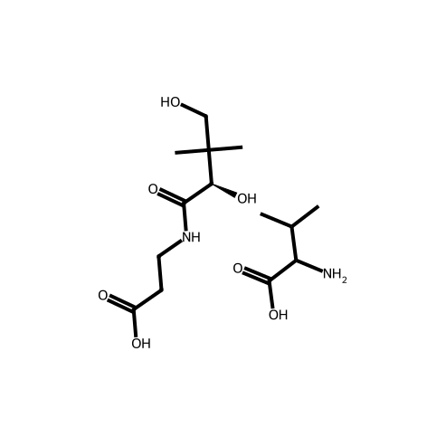 CC(C)(CO)[C@@H](O)C(=O)NCCC(=O)O.CC(C)C(N)C(=O)O